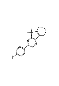 CC1(C)C2=C(CCC=C2)c2ccc(-c3ccc(I)cc3)cc21